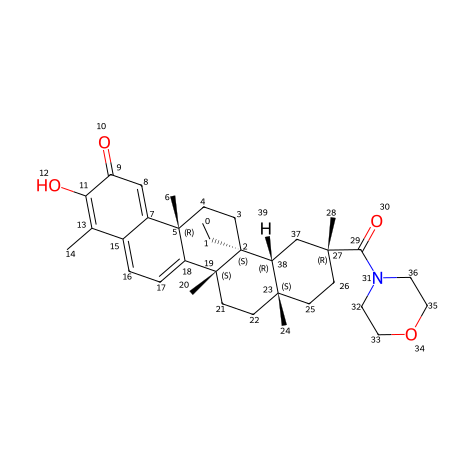 CC[C@@]12CC[C@@]3(C)C4=CC(=O)C(O)=C(C)C4=CC=C3[C@@]1(C)CC[C@@]1(C)CC[C@@](C)(C(=O)N3CCOCC3)C[C@H]12